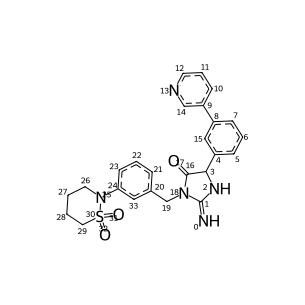 N=C1NC(c2cccc(-c3cccnc3)c2)C(=O)N1Cc1cccc(N2CCCCS2(=O)=O)c1